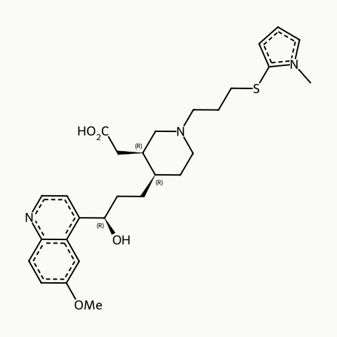 COc1ccc2nccc([C@H](O)CC[C@@H]3CCN(CCCSc4cccn4C)C[C@@H]3CC(=O)O)c2c1